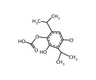 CC(C)c1cc(Cl)c(C(C)C)c(O)c1OC(=O)O